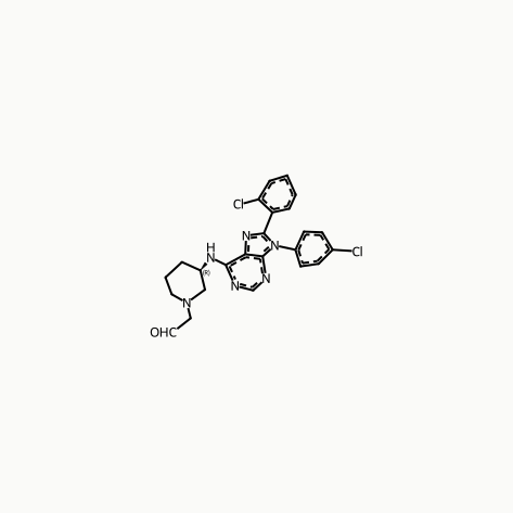 O=CCN1CCC[C@@H](Nc2ncnc3c2nc(-c2ccccc2Cl)n3-c2ccc(Cl)cc2)C1